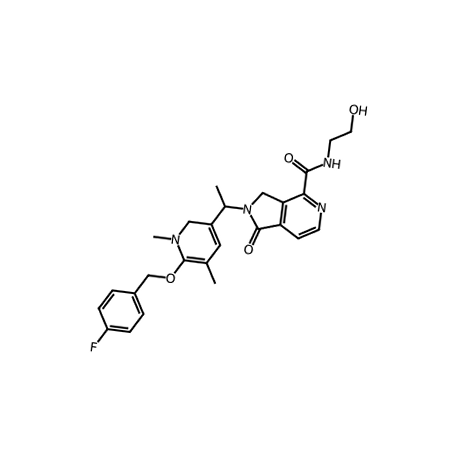 CC1=C(OCc2ccc(F)cc2)N(C)CC(C(C)N2Cc3c(ccnc3C(=O)NCCO)C2=O)=C1